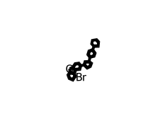 Brc1cccc2oc3ccc(-c4cccc(-c5ccc(C6=CC=CCC6)cc5)c4)cc3c12